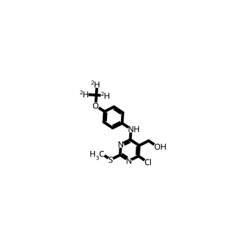 [2H]C([2H])([2H])Oc1ccc(Nc2nc(SC)nc(Cl)c2CO)cc1